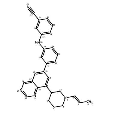 CC=CN1CCCC(c2cc(-c3cccc(Nc4cccc(C#N)c4)c3)cc3cncnc23)C1